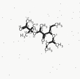 CCC(OC(C)OC)C(=O)C(C)OC(C)(C)C(C)=O